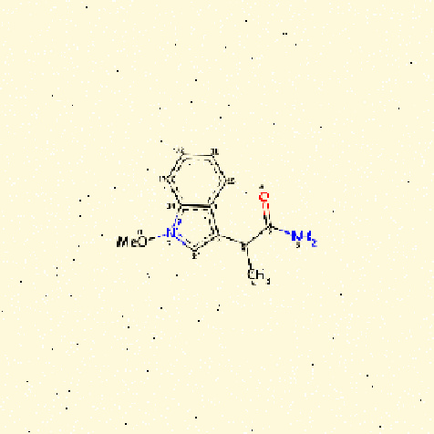 COn1cc(C(C)C(N)=O)c2ccccc21